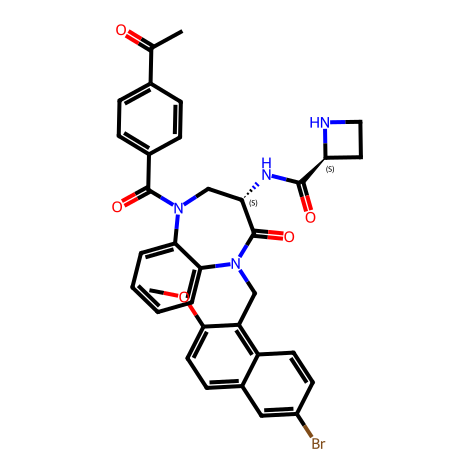 COc1ccc2cc(Br)ccc2c1CN1C(=O)[C@@H](NC(=O)[C@@H]2CCN2)CN(C(=O)c2ccc(C(C)=O)cc2)c2ccccc21